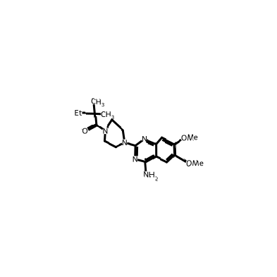 CCC(C)(C)C(=O)N1CCN(c2nc(N)c3cc(OC)c(OC)cc3n2)CC1